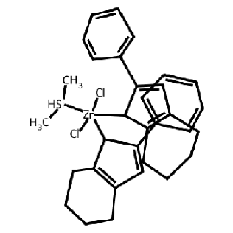 C[SiH](C)[Zr]([Cl])([Cl])([CH]1C(c2ccccc2)=CC2=C1CCCC2)[CH]1C(c2ccccc2)=CC2=C1CCCC2